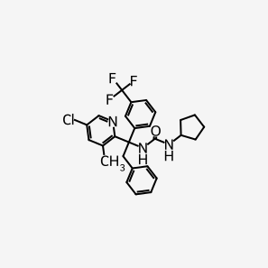 Cc1cc(Cl)cnc1C(Cc1ccccc1)(NC(=O)NC1CCCC1)c1cccc(C(F)(F)F)c1